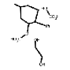 CC1CCC(C(C)C)C(OC(=O)O)C1.O=C(O)O.OCCO